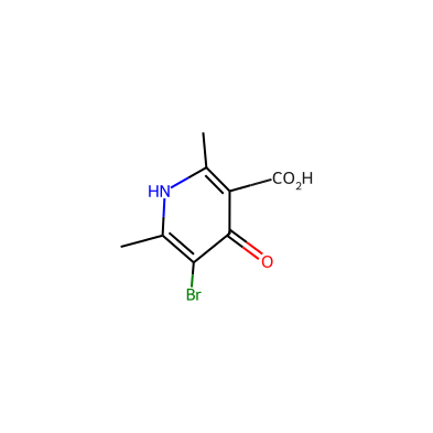 Cc1[nH]c(C)c(C(=O)O)c(=O)c1Br